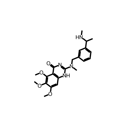 CNC(C)c1cccc(CN(C)c2nc(=O)c3c(OC)c(OC)c(OC)cc3[nH]2)c1